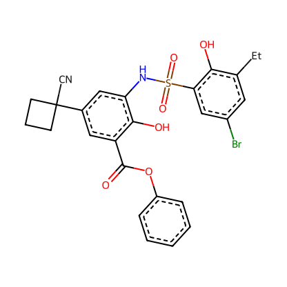 CCc1cc(Br)cc(S(=O)(=O)Nc2cc(C3(C#N)CCC3)cc(C(=O)Oc3ccccc3)c2O)c1O